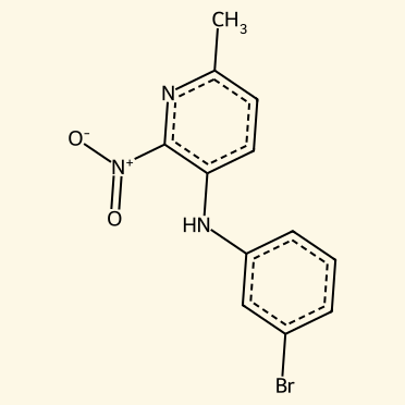 Cc1ccc(Nc2cccc(Br)c2)c([N+](=O)[O-])n1